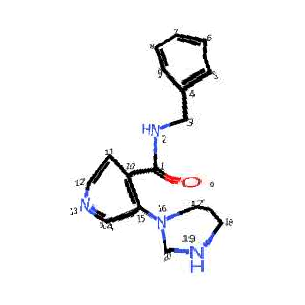 O=C(NCc1ccccc1)c1ccncc1N1CCNC1